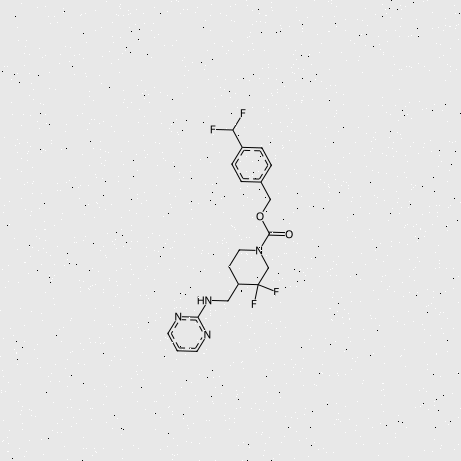 O=C(OCc1ccc(C(F)F)cc1)N1CCC(CNc2ncccn2)C(F)(F)C1